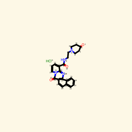 Cl.O=C1CCN(CCNC(=O)c2cccn3c(=O)c4ccc5ccccc5c4nc23)CC1